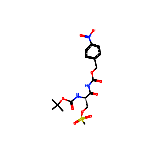 CC(C)(C)OC(=O)N[C@@H](COS(C)(=O)=O)C(=O)NC(=O)OCc1ccc([N+](=O)[O-])cc1